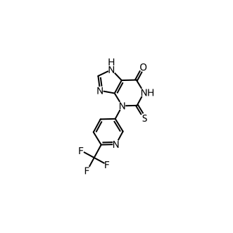 O=c1[nH]c(=S)n(-c2ccc(C(F)(F)F)nc2)c2nc[nH]c12